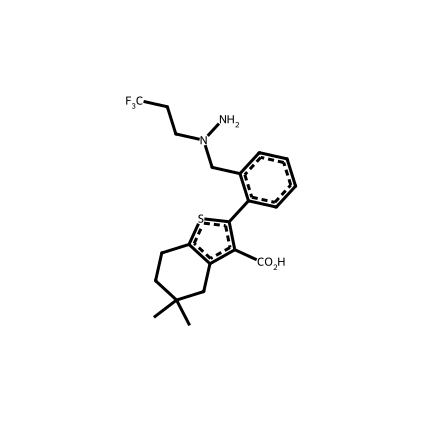 CC1(C)CCc2sc(-c3ccccc3CN(N)CCC(F)(F)F)c(C(=O)O)c2C1